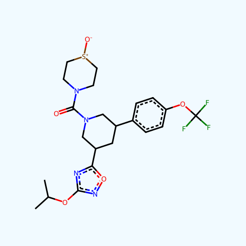 CC(C)Oc1noc(C2CC(c3ccc(OC(F)(F)F)cc3)CN(C(=O)N3CC[S+]([O-])CC3)C2)n1